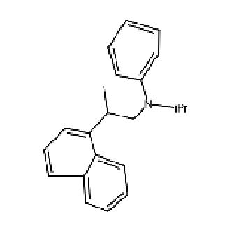 CC(CN(c1ccccc1)C(C)C)c1cccc2ccccc12